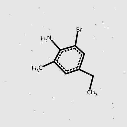 CCc1cc(C)c(N)c(Br)c1